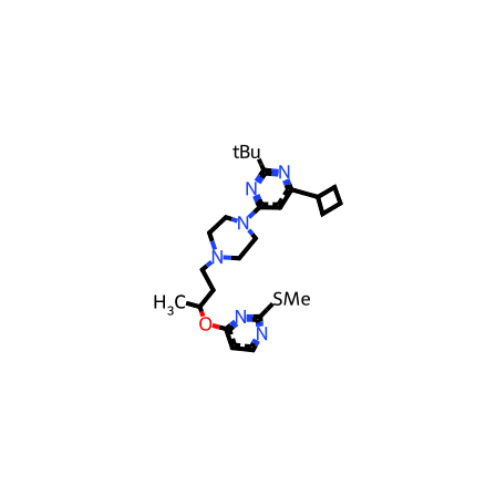 CSc1nccc(OC(C)CCN2CCN(c3cc(C4CCC4)nc(C(C)(C)C)n3)CC2)n1